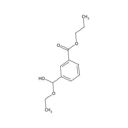 CCCOC(=O)c1cccc(C(O)OCC)c1